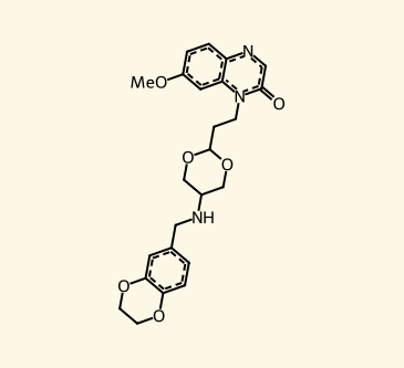 COc1ccc2ncc(=O)n(CCC3OCC(NCc4ccc5c(c4)OCCO5)CO3)c2c1